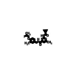 Cc1cc(C(=O)NCc2ccc(OC[C@@H](C)F)c(C)c2)nc(NC(=O)C2CC2)n1